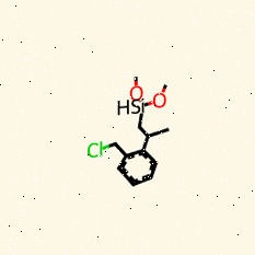 CO[SiH](CC(C)c1ccccc1CCl)OC